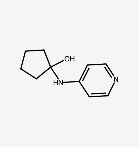 OC1(Nc2ccncc2)CCCC1